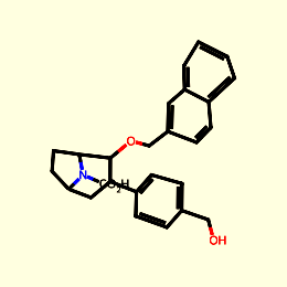 O=C(O)N1C2CCC1C(OCc1ccc3ccccc3c1)C(c1ccc(CO)cc1)C2